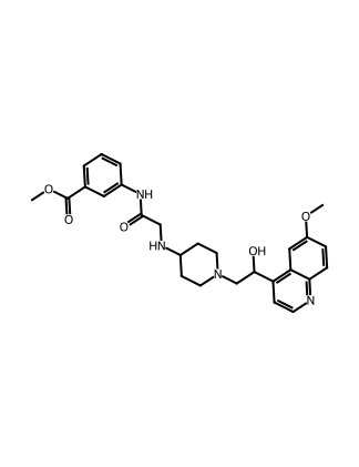 COC(=O)c1cccc(NC(=O)CNC2CCN(CC(O)c3ccnc4ccc(OC)cc34)CC2)c1